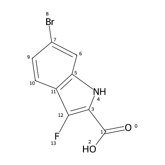 O=C(O)c1[nH]c2cc(Br)ccc2c1F